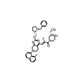 Cc1cccc2cccc(N3CCc4c(C=C(F)C(=O)N5CCN[C@@H](CC#N)C5)nc(OC[C@@H]5CCCN5Cc5ccccc5)nc4C3)c12